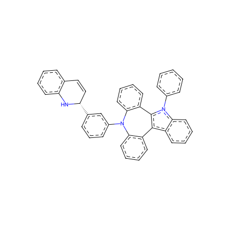 C1=C[C@H](c2cccc(N3c4ccccc4-c4c(n(-c5ccccc5)c5ccccc45)-c4ccccc43)c2)Nc2ccccc21